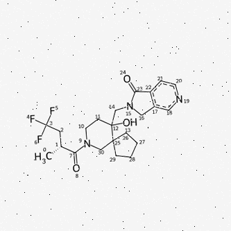 C[C@H](CC(F)(F)F)C(=O)N1CCC(O)(CN2Cc3cnccc3C2=O)C2(CCCC2)C1